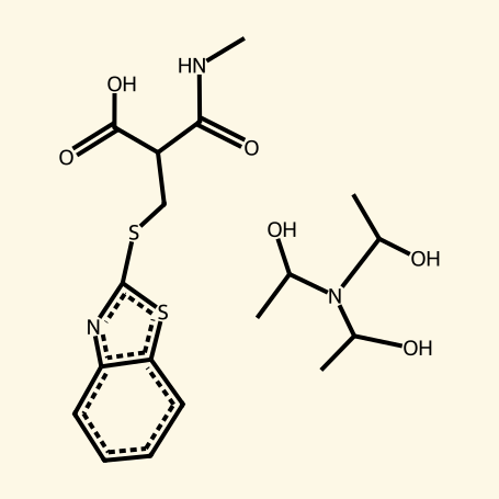 CC(O)N(C(C)O)C(C)O.CNC(=O)C(CSc1nc2ccccc2s1)C(=O)O